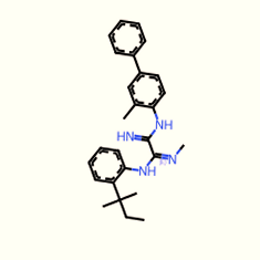 CCC(C)(C)c1ccccc1N/C(=N/C)C(=N)Nc1ccc(-c2ccccc2)cc1C